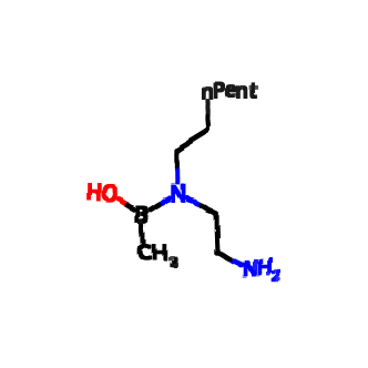 CCCCCCCN(CCN)B(C)O